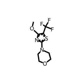 COc1nc(N2CCOCC2)sc1C(F)(F)F